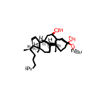 CCCCOC1(O)CC[C@@]2(C)C(C1)C(O)C[C@H]1[C@@H]3CC[C@H]([C@H](C)CCCC(C)C)[C@@]3(C)CC[C@@H]12